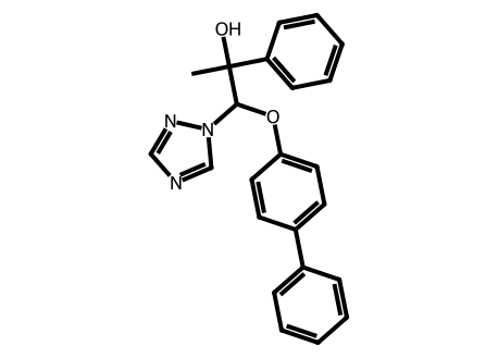 CC(O)(c1ccccc1)C(Oc1ccc(-c2ccccc2)cc1)n1cncn1